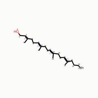 C/C(=C\CO)CC/C=C(\C)CC/C=C(\C)CC/C=C(\C)CCCC(C)C